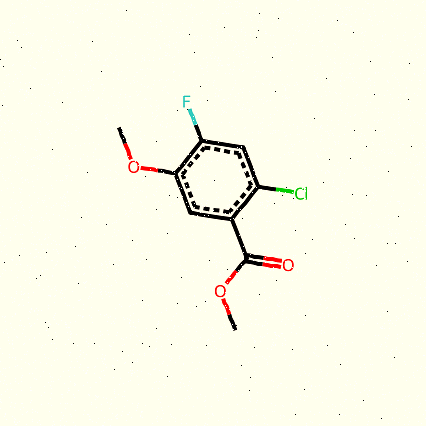 COC(=O)c1cc(OC)c(F)cc1Cl